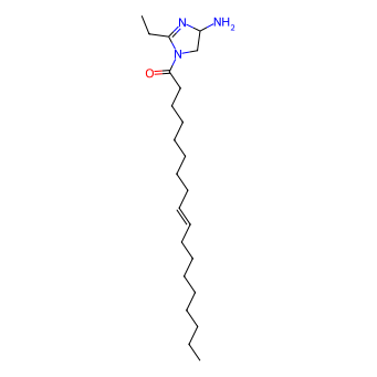 CCCCCCCCC=CCCCCCCCC(=O)N1CC(N)N=C1CC